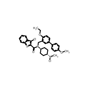 CCOc1ccc(-c2ccc(OC)cc2)cc1CN(C(=O)c1sc2ccccc2c1Cl)[C@H]1CC[C@H](N(C)Cl)CC1